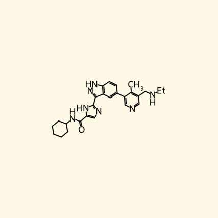 CCNCc1cncc(-c2ccc3[nH]nc(-c4ncc(C(=O)NC5CCCCC5)[nH]4)c3c2)c1C